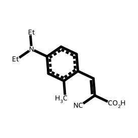 CCN(CC)c1ccc(/C=C(\C#N)C(=O)O)c(C)c1